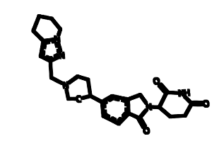 O=C1CCC(N2Cc3cc(C4CCN(Cc5cc6n(n5)CCCC6)CC4)ccc3C2=O)C(=O)N1